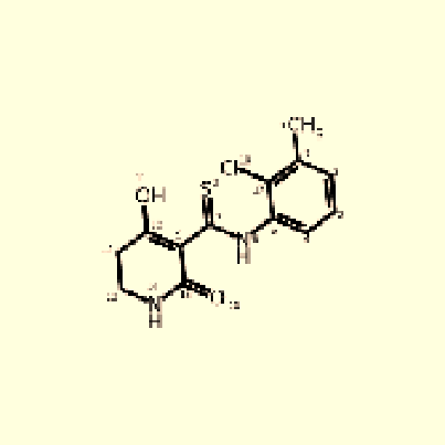 Cc1cccc(NC(=S)C2=C(O)CCNC2=O)c1Cl